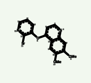 COc1cc2nccc(Oc3cccnc3Br)c2cc1OC